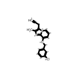 C#CCc1c(C)nc2c(OCc3cccc(Cl)c3)cccn12